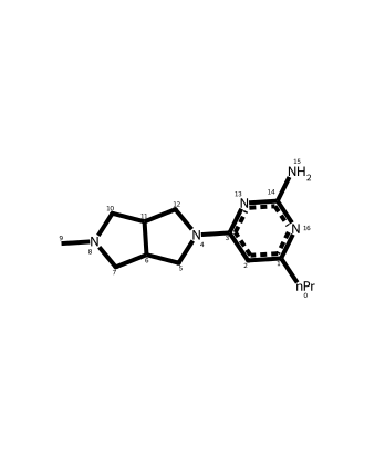 CCCc1cc(N2CC3CN(C)CC3C2)nc(N)n1